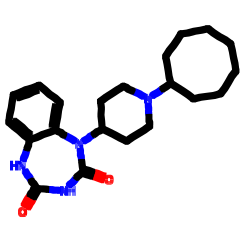 O=C1NC(=O)N(C2CCN(C3CCCCCCC3)CC2)c2ccccc2N1